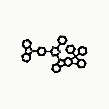 c1ccc(-c2nc(-c3ccc(-n4c5ccccc5c5ccccc54)cc3)nc(-n3c4ccccc4c4cc5c(cc43)C(c3ccccc3)(c3ccccc3)c3ccccc3-5)n2)cc1